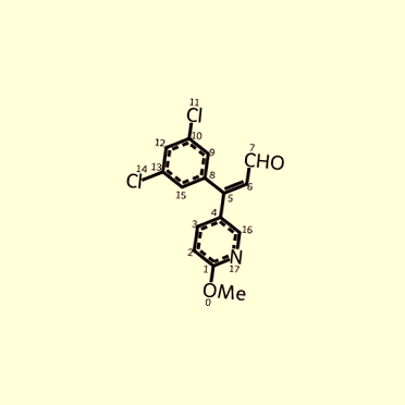 COc1ccc(/C(=C/C=O)c2cc(Cl)cc(Cl)c2)cn1